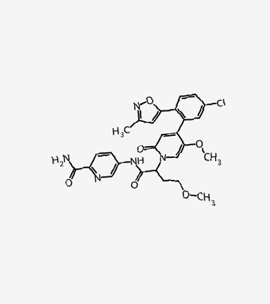 COCCC(C(=O)Nc1ccc(C(N)=O)nc1)n1cc(OC)c(-c2cc(Cl)ccc2-c2cc(C)no2)cc1=O